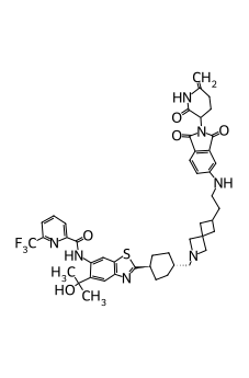 C=C1CCC(N2C(=O)c3ccc(NCCC4CC5(C4)CN(C[C@H]4CC[C@H](c6nc7cc(C(C)(C)O)c(NC(=O)c8cccc(C(F)(F)F)n8)cc7s6)CC4)C5)cc3C2=O)C(=O)N1